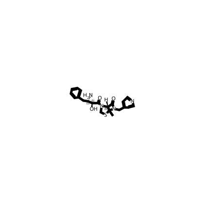 CC12SCN(C(=O)[C@@H](O)[C@@H](N)Cc3ccccc3)[C@@H]1C(=O)N2Cc1ccncc1